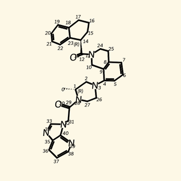 C[C@@H]1CN(c2cccc3c2CN(C(=O)[C@@H]2CCCc4ccccc42)CC3)CCN1C(=O)Cn1cnc2cccnc21